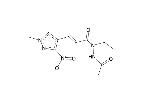 CCN(NC(C)=O)C(=O)/C=C/c1cn(C)nc1[N+](=O)[O-]